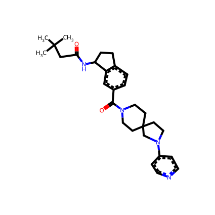 CC(C)(C)CC(=O)NC1CCc2ccc(C(=O)N3CCC4(CC3)CCN(c3ccncc3)C4)cc21